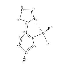 FC(F)(F)c1cc(Cl)ccc1C1CO[C]=N1